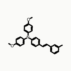 COc1ccc(N(c2ccc(/C=C/c3cccc(C)c3)cc2)c2ccc(OC)cc2)cc1